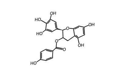 O=C(OC1Cc2c(O)cc(O)cc2O[C@@H]1c1cc(O)c(O)c(O)c1)c1ccc(O)cc1